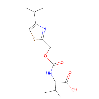 CC(C)c1csc(COC(=O)NC(C(=O)O)C(C)C)n1